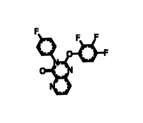 O=c1c2ncccc2nc(Oc2ccc(F)c(F)c2F)n1-c1ccc(F)cc1